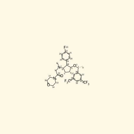 C[C@@H](OC1CCC(N(C)CC(=O)N2CCOCC2)C1c1ccc(F)cc1)c1cc(C(F)(F)F)cc(C(F)(F)F)c1